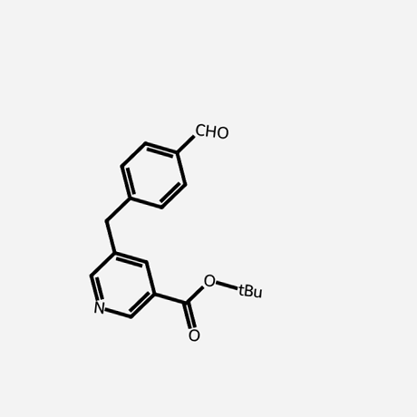 CC(C)(C)OC(=O)c1cncc(Cc2ccc(C=O)cc2)c1